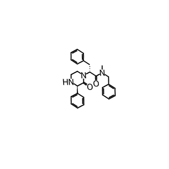 CN(Cc1ccccc1)C(=O)[C@@H](Cc1ccccc1)N1CCN[C@H](c2ccccc2)C1=O